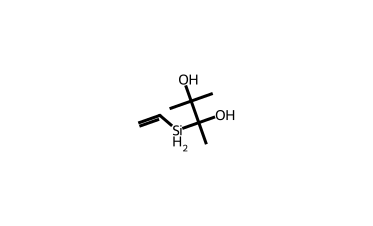 C=C[SiH2]C(C)(O)C(C)(C)O